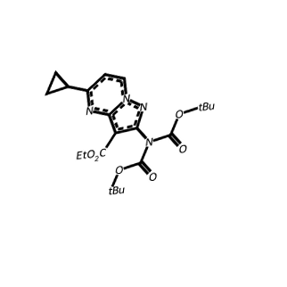 CCOC(=O)c1c(N(C(=O)OC(C)(C)C)C(=O)OC(C)(C)C)nn2ccc(C3CC3)nc12